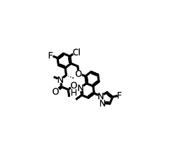 Cc1cc(-n2cc(F)cn2)c2cccc(OCc3c(Cl)cc(F)cc3[C@H](C)N(C)C(=O)C(C)O)c2n1